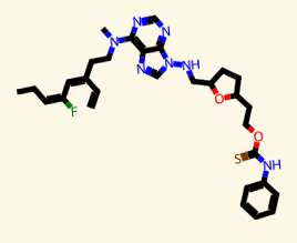 C=C/C(=C\C(F)=C/CC)CCN(C)c1ncnc2c1ncn2NCC1CCC(CCOC(=S)Nc2ccccc2)O1